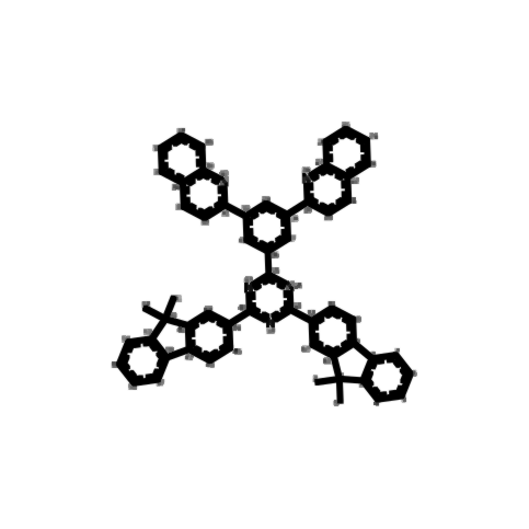 CC1(C)c2ccccc2-c2ccc(-c3nc(-c4cc(-c5ccc6ccccc6n5)cc(-c5ccc6ccccc6n5)c4)nc(-c4ccc5c(c4)C(C)(C)c4ccccc4-5)n3)cc21